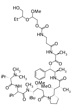 CCC(CO)OC(COC(=O)NCCC(=O)N[C@@H](C)C(=O)O[C@@H](c1ccccc1)[C@@H](C)NC(=O)[C@H](C)[C@@H](OC)[C@@H]1CCCN1C(=O)C[C@@H](OC)[C@H]([C@@H](C)CC)N(C)C(=O)C(NC(=O)[C@H](C(C)C)N(C)C)C(C)C)OC